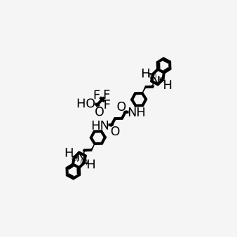 O=C(CCC(=O)N[C@H]1CC[C@H](CCN2[C@@H]3CC[C@H]2c2ccccc23)CC1)N[C@H]1CC[C@H](CCN2[C@@H]3CC[C@H]2c2ccccc23)CC1.O=C(O)C(F)(F)F